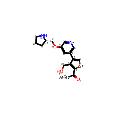 COC(=O)c1scc(-c2cncc(OC[C@@H]3CCCN3)c2)c1CO